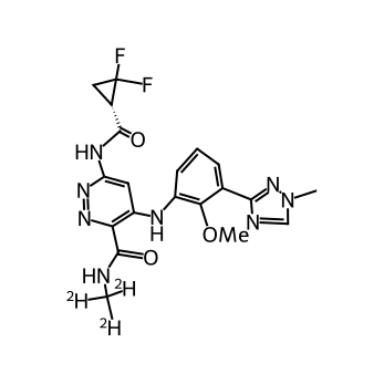 [2H]C([2H])([2H])NC(=O)c1nnc(NC(=O)[C@@H]2CC2(F)F)cc1Nc1cccc(-c2ncn(C)n2)c1OC